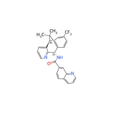 CC1(C)C[C@H]1c1cccnc1[C@@H](NC(=O)c1ccc2cccnc2c1)c1ccc(C(F)(F)F)cc1